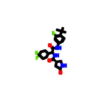 CC(C)(C)c1ccc(NC(=O)C(NC(=O)[C@H]2CNC(=O)C2)C2CCC(F)(F)CC2)cc1F